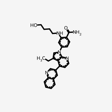 CCc1cn(-c2ccc(C(N)=O)c(NCCCCO)c2)c2nccc(-c3cnc4ccccc4c3)c12